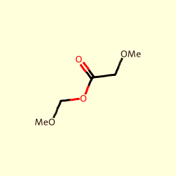 COCOC(=O)COC